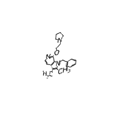 Cc1c(C)n(Cc2ccccc2)c2c(OCCN3CCCC3)nccc12